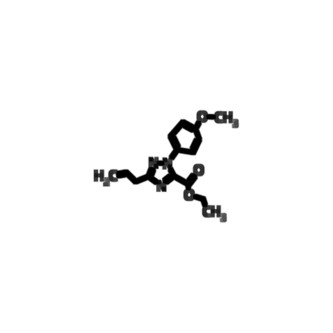 C=CCc1nc(C(=O)OCC)n(-c2ccc(OC)cc2)n1